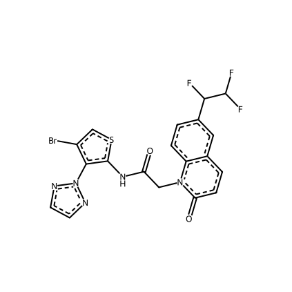 O=C(Cn1c(=O)ccc2cc(C(F)C(F)F)ccc21)Nc1scc(Br)c1-n1nccn1